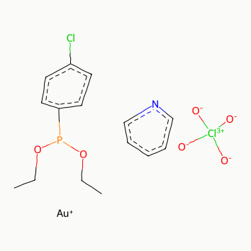 CCOP(OCC)c1ccc(Cl)cc1.[Au+].[O-][Cl+3]([O-])([O-])[O-].c1ccncc1